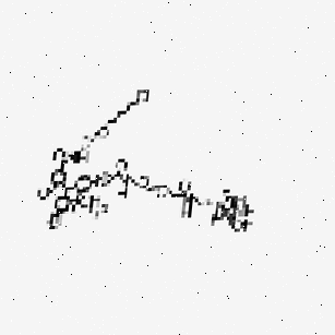 CC1(C)C2=CC(=[N+]3CC(C(=O)NCCOCCOCCC(=O)NCCCC[C@@H]4SC[C@@H]5NC(O)N[C@@H]54)C3)C=CC2=C(c2cc(C(=O)NCCOCCOCCCCCCCl)ccc2C=O)c2ccc(N3CCC3)cc21